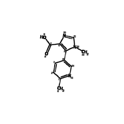 Cc1ccc(-c2c(C(=O)O)ncn2C)cn1